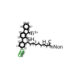 CCCCCCCCCC(C)CCCCCCCCc1ccccc1-c1ccc2c(c1[SiH3])[CH]([Ti+3])c1ccccc1-2.[Cl-].[Cl-].[Cl-]